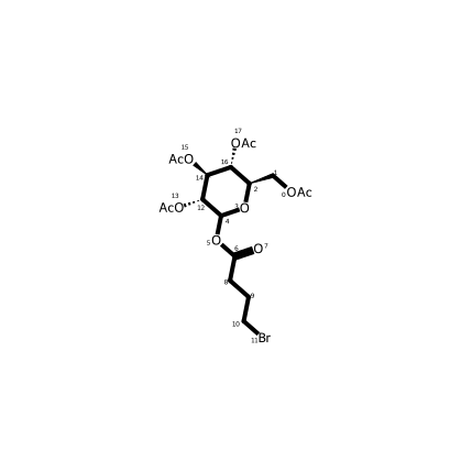 CC(=O)OC[C@H]1OC(OC(=O)CCCBr)[C@H](OC(C)=O)[C@@H](OC(C)=O)[C@@H]1OC(C)=O